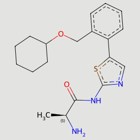 C[C@H](N)C(=O)Nc1ncc(-c2ccccc2COC2CCCCC2)s1